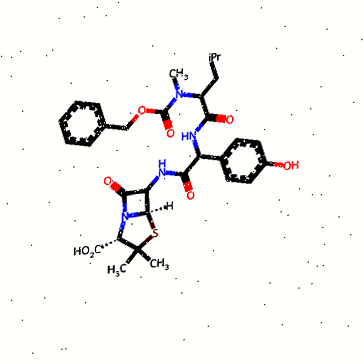 CC(C)CC(C(=O)NC(C(=O)NC1C(=O)N2[C@@H]1SC(C)(C)[C@@H]2C(=O)O)c1ccc(O)cc1)N(C)C(=O)OCc1ccccc1